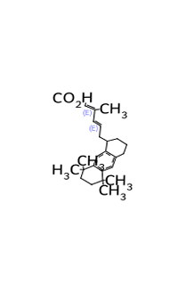 CC(/C=C/CC1CCCc2cc3c(cc21)C(C)(C)CCC3(C)C)=C\C(=O)O